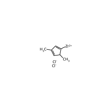 CC1=CC(C)[C]([Zr+2])=C1.[Cl-].[Cl-]